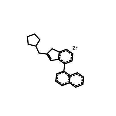 [CH]1C(CC2CCCC2)=Cc2c1cccc2-c1cccc2ccccc12.[Zr]